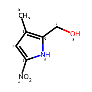 Cc1cc([N+](=O)[O-])[nH]c1CO